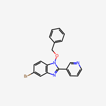 Brc1ccc2c(c1)nc(-c1cccnc1)n2OCc1ccccc1